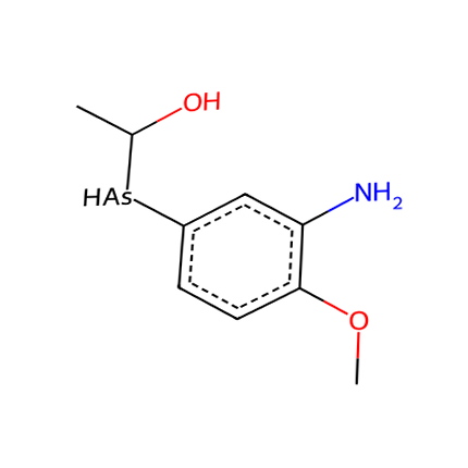 COc1ccc([AsH]C(C)O)cc1N